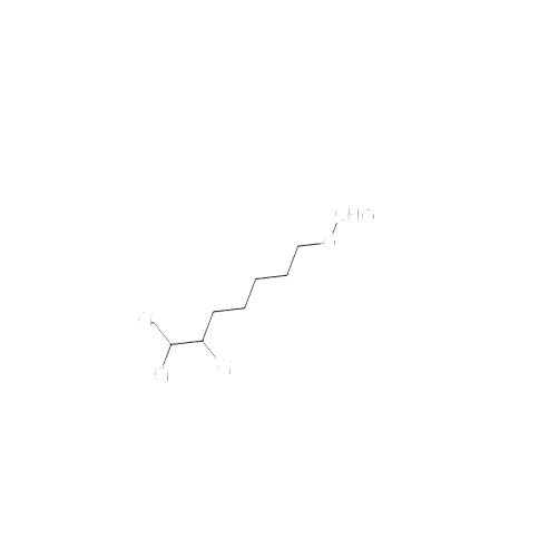 O=COCCCCCC(Cl)C(Cl)Cl